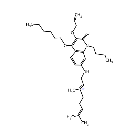 C=CCOc1c(OCCCCCC)c2ccc(NC/C=C(\C)CCC=C(C)C)cc2n(CCCC)c1=O